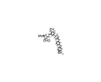 C=Cc1ccc(C2CCN(Cc3cccc(CN4CCN(C)CC4)c3)CC2)cc1CCC(CCC=O)CNC